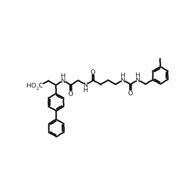 Cc1cccc(CNC(=O)NCCCC(=O)NCC(=O)NC(CC(=O)O)c2ccc(-c3ccccc3)cc2)c1